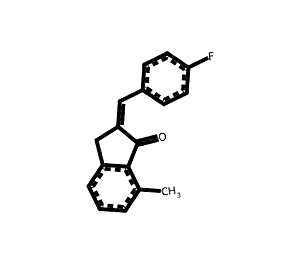 Cc1cccc2c1C(=O)C(=Cc1ccc(F)cc1)C2